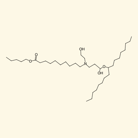 CCCCCCCCC(CCCCCCCC)OC(O)CCN(CCO)CCCCCCCCCC(=O)OCCCCC